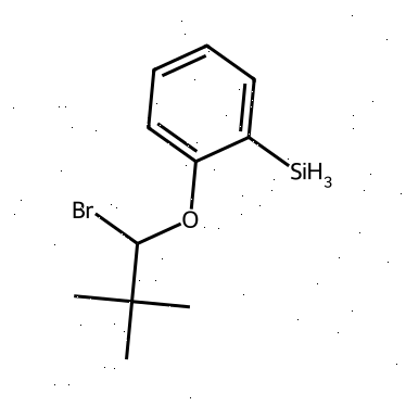 CC(C)(C)C(Br)Oc1ccccc1[SiH3]